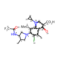 COc1c(N2CC(C)C(NC(=O)C(F)(F)F)C2)c(F)c(C)c2c(=O)c(C(=O)O)cn(C3CC3)c12